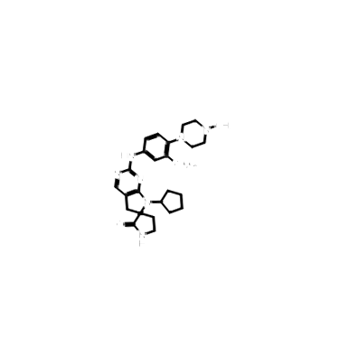 COc1cc(Nc2ncc3c(n2)N(C2CCCC2)C2(CCNC2=O)C3)ccc1N1CCN(C)CC1